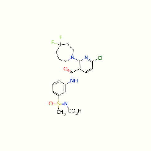 CS(=O)(=NC(=O)O)c1cccc(NC(=O)c2ccc(Cl)nc2N2CCCC(F)(F)CC2)c1